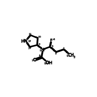 CCCC(F)N(C(=O)O)C1CCNC1